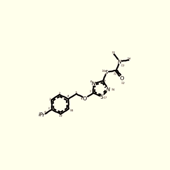 CC(C)c1ccc(COc2nc(SC(=O)N(C)C)ns2)cc1